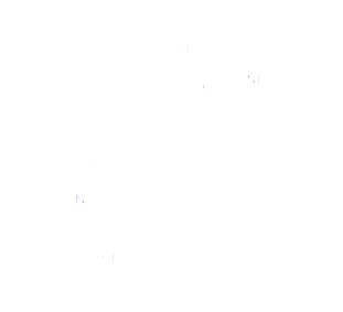 Cc1cc(C2=CC[C@H]3CNC[C@H]3C2)on1